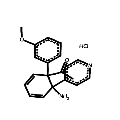 COc1cccc(C2(C(C)=O)C=CC=CC2(N)c2ccncc2)c1.Cl